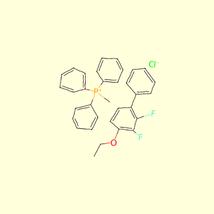 CCOc1ccc(-c2ccccc2)c(F)c1F.C[P+](c1ccccc1)(c1ccccc1)c1ccccc1.[Cl-]